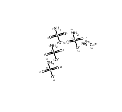 NS(=O)(=O)[O-].NS(=O)(=O)[O-].NS(=O)(=O)[O-].NS(=O)(=O)[O-].[Ca+2].[Mg+2]